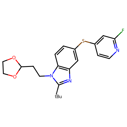 CC(C)(C)c1nc2cc(Sc3ccnc(F)c3)ccc2n1CCC1OCCO1